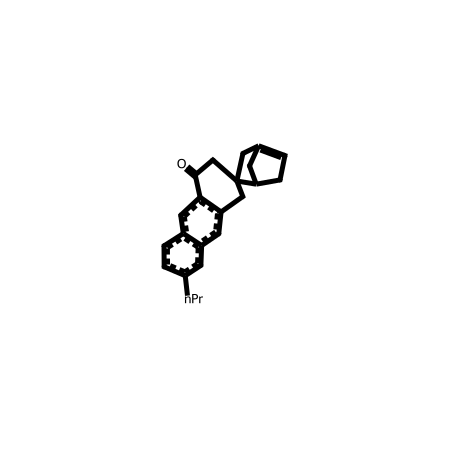 CCCc1ccc2cc3c(cc2c1)CC1(CC3=O)CC2=CCC1C2